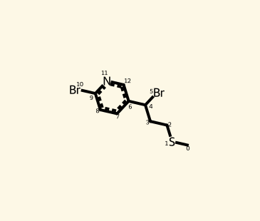 CSCCC(Br)c1ccc(Br)nc1